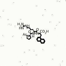 CC(=O)N1CCC[C@@H]1C(=O)N[C@@H](CCCCNC(=N)N)C(=O)N[C@@H](Cc1cccc2ccccc12)C(=O)O